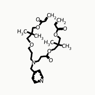 C=CC(=O)OCC(C)(C)COCCCN(CCC(=O)OCC(C)(C)COC(=O)C=C)Cc1ccncc1